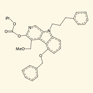 COCc1c(OC(=O)OC(C)C)ncc2c1c1c(OCc3ccccc3)cccc1n2CCCc1ccccc1